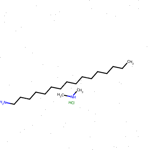 CCCCCCCCCCCCCCCCN.CNC.Cl